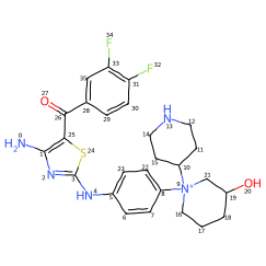 Nc1nc(Nc2ccc([N+]3(C4CCNCC4)CCCC(O)C3)cc2)sc1C(=O)c1ccc(F)c(F)c1